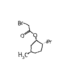 CC(C)[C@@H]1CC[C@@H](C)C[C@H]1OC(=O)CBr